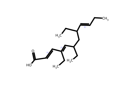 CC/C=C/C(CC)CC(/C=C(/C=C/C(=O)O)CC)CC